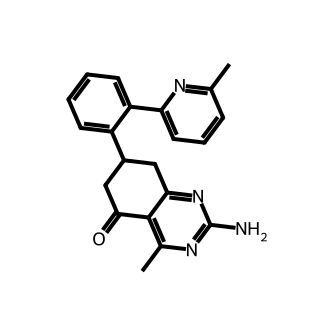 Cc1cccc(-c2ccccc2C2CC(=O)c3c(C)nc(N)nc3C2)n1